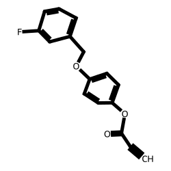 C#CC(=O)Oc1ccc(OCc2cccc(F)c2)cc1